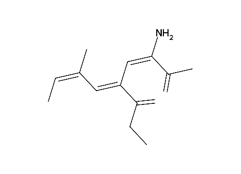 C=C(C)\C(N)=C/C(=C\C(C)=C/C)C(=C)CC